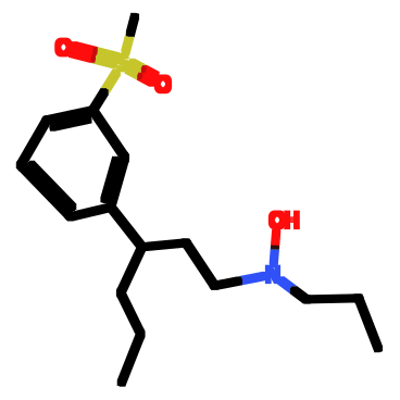 CCCC(CCN(O)CCC)c1cccc(S(C)(=O)=O)c1